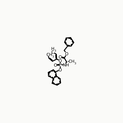 C/C=C\C(=C/C)OP(=O)(N[C@@H](C)C(=O)OCc1ccccc1)Oc1cccc2ccccc12